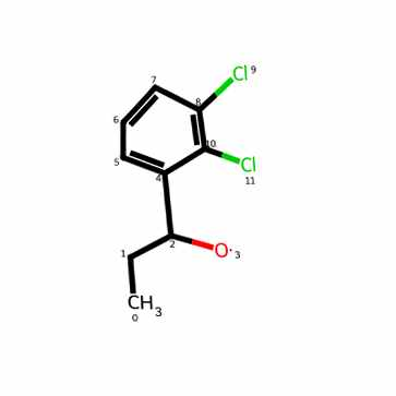 CCC([O])c1cccc(Cl)c1Cl